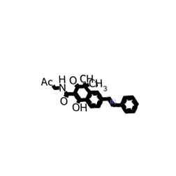 CC(=O)CNC(=O)C1=C(O)c2ccc(/C=C/c3ccccc3)cc2C(C)(C)C1=O